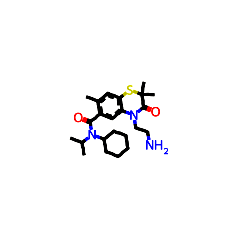 Cc1cc2c(cc1C(=O)N(C(C)C)C1CCCCC1)N(CCN)C(=O)C(C)(C)S2